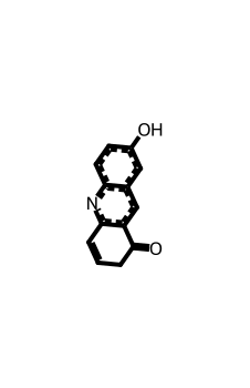 O=C1CC=Cc2nc3ccc(O)cc3cc21